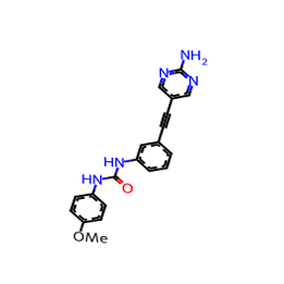 COc1ccc(NC(=O)Nc2cccc(C#Cc3cnc(N)nc3)c2)cc1